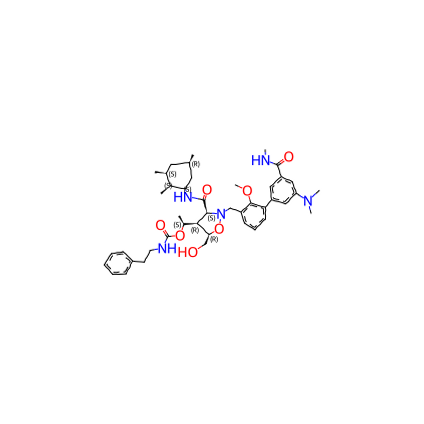 CNC(=O)c1cc(-c2cccc(CN3O[C@@H](CO)[C@@H]([C@H](C)OC(=O)NCCc4ccccc4)[C@H]3C(=O)N[C@H]3C[C@H](C)C[C@H](C)[C@@H]3C)c2OC)cc(N(C)C)c1